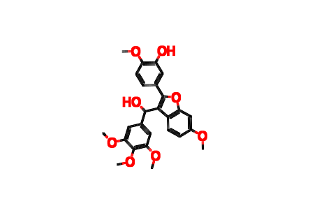 COc1ccc2c(C(O)c3cc(OC)c(OC)c(OC)c3)c(-c3ccc(OC)c(O)c3)oc2c1